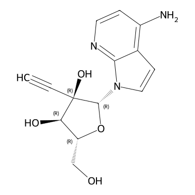 C#C[C@@]1(O)[C@H](O)[C@@H](CO)O[C@H]1n1ccc2c(N)ccnc21